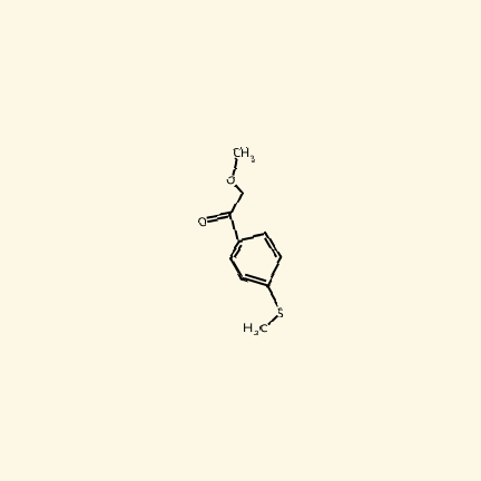 COCC(=O)c1ccc(SC)cc1